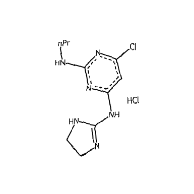 CCCNc1nc(Cl)cc(NC2=NCCN2)n1.Cl